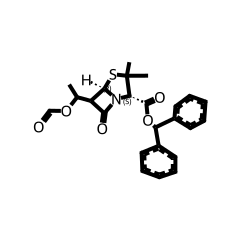 CC(OC=O)C1C(=O)N2[C@@H]1SC(C)(C)[C@@H]2C(=O)OC(c1ccccc1)c1ccccc1